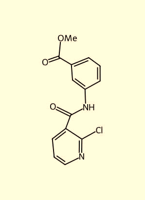 COC(=O)c1cccc(NC(=O)c2cccnc2Cl)c1